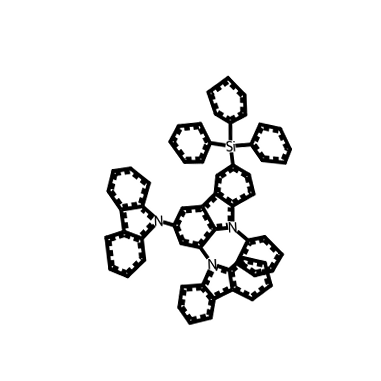 c1ccc(-n2c3ccc([Si](c4ccccc4)(c4ccccc4)c4ccccc4)cc3c3cc(-n4c5ccccc5c5ccccc54)cc(-n4c5ccccc5c5ccccc54)c32)cc1